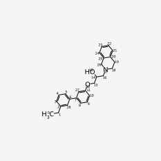 CCc1cccc(-c2cccc(OCC(O)CN3CCc4ccccc4C3)c2)c1